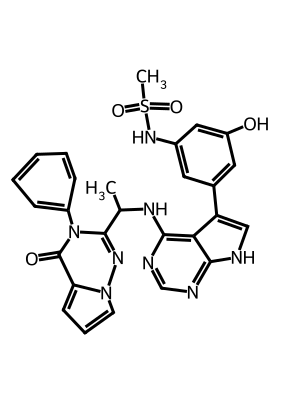 CC(Nc1ncnc2[nH]cc(-c3cc(O)cc(NS(C)(=O)=O)c3)c12)c1nn2cccc2c(=O)n1-c1ccccc1